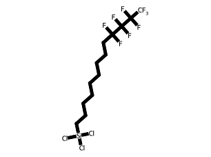 FC(F)(F)C(F)(F)C(F)(F)C(F)(F)CCCCCCCCC[Si](Cl)(Cl)Cl